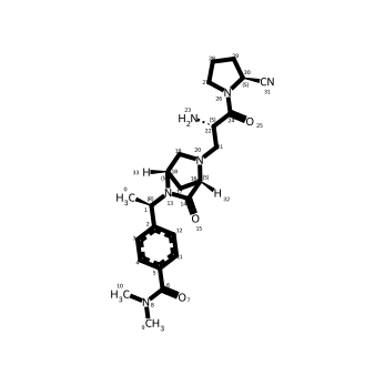 C[C@H](c1ccc(C(=O)N(C)C)cc1)N1C(=O)[C@@H]2C[C@H]1CN2C[C@H](N)C(=O)N1CCC[C@H]1C#N